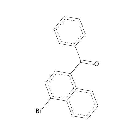 O=C(c1ccccc1)c1ccc(Br)c2ccccc12